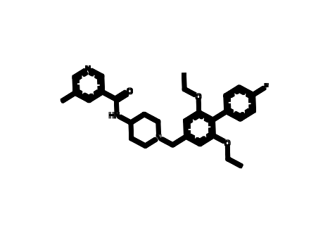 CCOc1cc(CN2CCC(NC(=O)c3cncc(C)c3)CC2)cc(OCC)c1-c1ccc(F)cc1